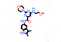 COCCNc1cc(C(=O)Nc2ccc3[nH]c(C)c(C)c3c2)nc(N2CCOCC2)n1